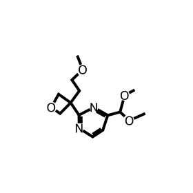 COCCC1(c2nccc(C(OC)OC)n2)COC1